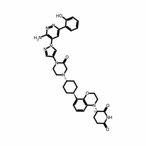 Nc1nnc(-c2ccccc2O)cc1-n1cc(N2CCN([C@H]3CC[C@H](c4cccc5c4OCCN5[C@H]4CCC(=O)NC4=O)CC3)CC2=O)cn1